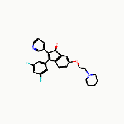 O=C1C(c2cccnc2)=C(c2cc(F)cc(F)c2)c2ccc(OCCN3CCCCC3)cc21